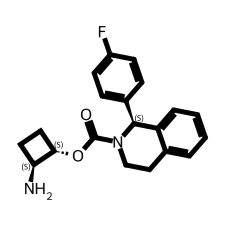 N[C@H]1CC[C@@H]1OC(=O)N1CCc2ccccc2[C@@H]1c1ccc(F)cc1